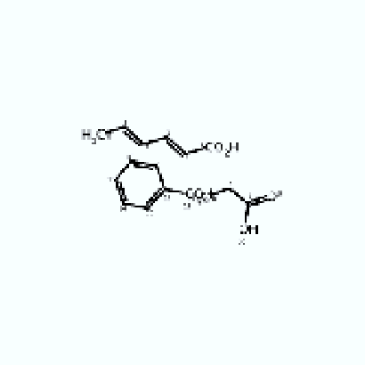 CC=CC=CC(=O)O.CCC(=O)O.O=C(O)c1ccccc1